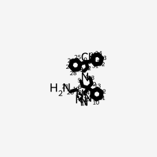 CC(CCN1CCC(c2ccccc2)(c2nnnn2CCN)CC1)(c1ccccc1)c1ccccc1